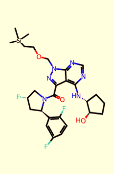 C[Si](C)(C)CCOCn1nc(C(=O)N2C[C@@H](F)C[C@@H]2c2cc(F)ccc2F)c2c(N[C@@H]3CCC[C@H]3O)ncnc21